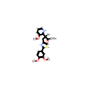 CCOc1ccc(-c2nc(CC(C(C)=O)(C(=O)OC)c3ncccc3OCC)cs2)cc1OCC